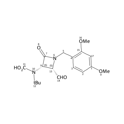 COc1ccc(CN2C(=O)[C@@H](N(C(=O)O)C(C)(C)C)[C@H]2C=O)c(OC)c1